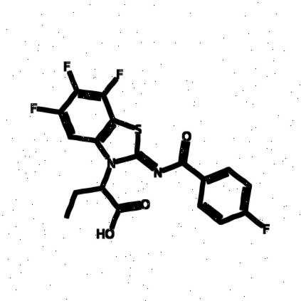 CCC(C(=O)O)n1/c(=N/C(=O)c2ccc(F)cc2)sc2c(F)c(F)c(F)cc21